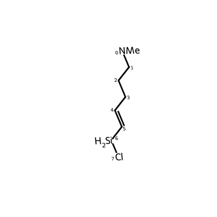 CNCCCC=C[SiH2]Cl